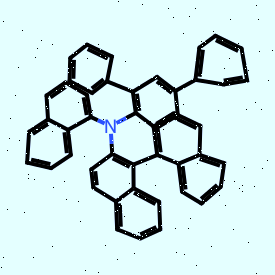 c1ccc(-c2ccc(N(c3ccc4ccccc4c3-c3cccc4ccccc34)c3cccc4ccccc34)c(-c3ccccc3)c2)cc1